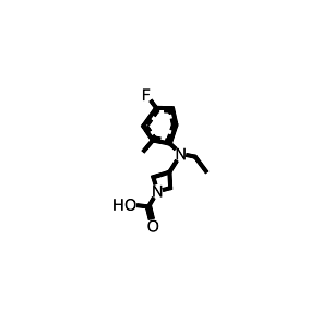 CCN(c1ccc(F)cc1C)C1CN(C(=O)O)C1